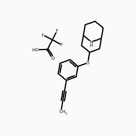 CC#Cc1cccc(OC2CC3CCCC(C2)N3)c1.O=C(O)C(F)(F)F